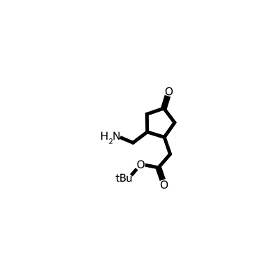 CC(C)(C)OC(=O)CC1CC(=O)CC1CN